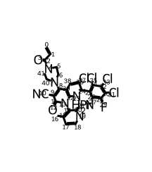 C=CC(=O)N1CCN(c2c(C#N)c(=O)n(-c3c(C)ccnc3C(C)C)c3nc(-c4c(N)c(F)c(Cl)c(Cl)c4Cl)c(Cl)cc23)CC1